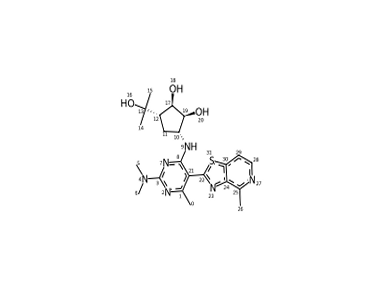 Cc1nc(N(C)C)nc(N[C@@H]2C[C@H](C(C)(C)O)[C@@H](O)[C@H]2O)c1-c1nc2c(C)nccc2s1